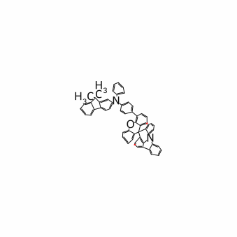 CC1(C)c2ccccc2-c2ccc(N(c3ccccc3)c3ccc(-c4cccc5c4Oc4ccccc4C54c5ccccc5-n5c6ccccc6c6cccc4c65)cc3)cc21